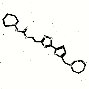 O=C(NC1CCCCC1)OCCc1noc(-c2ccc(CN3CCCCCC3)s2)n1